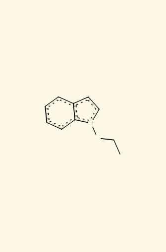 CCOn1ccc2ccccc21